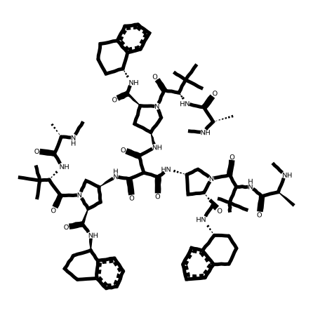 CN[C@@H](C)C(=O)NC(C(=O)N1C[C@@H](NC(=O)C(C(=O)N[C@H]2C[C@@H](C(=O)N[C@@H]3CCCc4ccccc43)N(C(=O)[C@@H](NC(=O)[C@H](C)NC)C(C)(C)C)C2)C(=O)N[C@H]2C[C@@H](C(=O)N[C@@H]3CCCc4ccccc43)N(C(=O)[C@@H](NC(=O)[C@H](C)NC)C(C)(C)C)C2)C[C@H]1C(=O)N[C@@H]1CCCc2ccccc21)C(C)(C)C